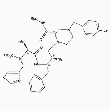 CC(C)(C)NC(=O)[C@@H]1CN(Cc2ccc(F)cc2)CCN1C[C@@H](O)[C@H](Cc1ccccc1)NC(=O)[C@@H](N(Cc1cscn1)C(=O)O)C(C)(C)C